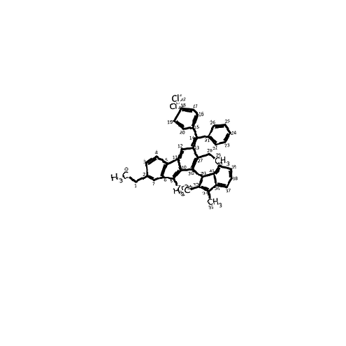 CCc1ccc2c(c1)[C]([Zr+2])=c1c-2cc(=C(c2ccccc2)c2ccccc2)c(CC)c1C1C(C)=C(C)c2ccccc21.[Cl-].[Cl-]